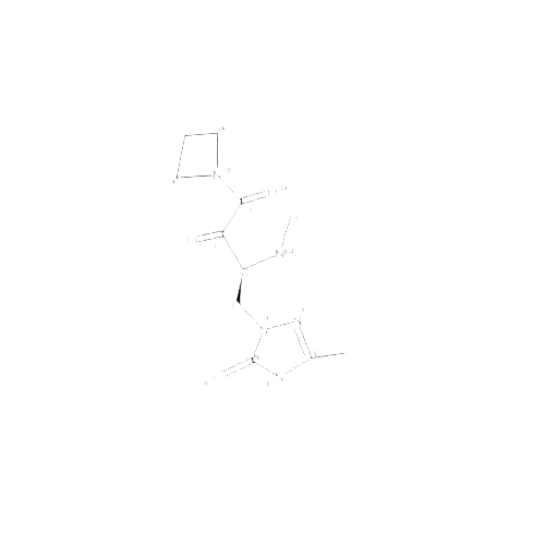 CN[C@@H](Cn1nc(C)[nH]c1=O)C(=O)C(=O)N1CCC1